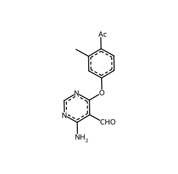 CC(=O)c1ccc(Oc2ncnc(N)c2C=O)cc1C